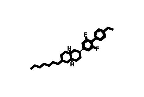 CCCCCCCC1CC[C@@H]2C[C@H](c3cc(F)c(-c4ccc(CC)cc4)c(F)c3)CC[C@@H]2C1